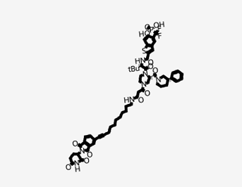 CC(C)(C)[C@H](NC(=O)c1cc2cc(C(F)(F)P(=O)(O)O)ccc2s1)C(=O)N1CCN(C(=O)CC(=O)NCCCCCCCCCC#Cc2ccc3c(c2)C(=O)N(C2CCC(=O)NC2=O)C3=O)C[C@H]1C(=O)N1CCC[C@H](c2ccccc2)C1